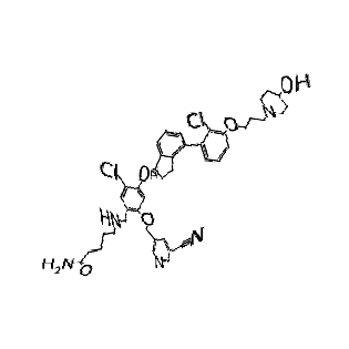 N#Cc1cncc(COc2cc(O[C@H]3CCc4c(-c5cccc(OCCCN6CCC(O)CC6)c5Cl)cccc43)c(Cl)cc2CNCCCCC(N)=O)c1